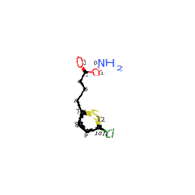 NOC(=O)CCCc1ccc(Cl)s1